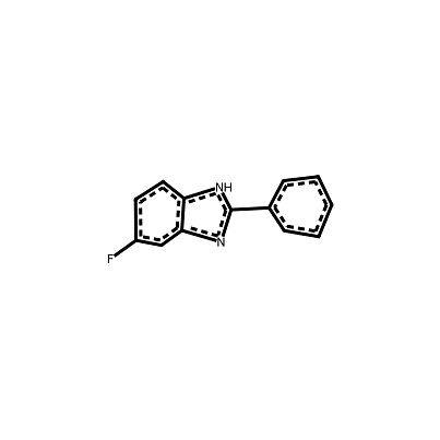 Fc1ccc2[nH]c(-c3ccccc3)nc2c1